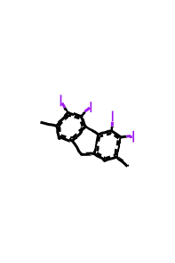 Cc1cc2c(c(I)c1I)-c1c(cc(C)c(I)c1I)C2